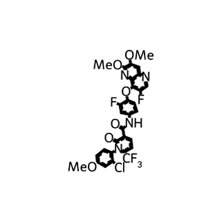 COc1ccc(-n2c(C(F)(F)F)ccc(C(=O)Nc3ccc(Oc4c(F)cnc5cc(OC)c(OC)nc45)c(F)c3)c2=O)c(Cl)c1